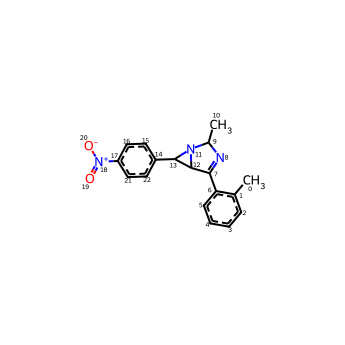 Cc1ccccc1C1=NC(C)N2C1C2c1ccc([N+](=O)[O-])cc1